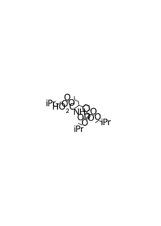 CC(C)CCOC(=O)OC(C)CC(c1ccc(OC(=O)OC(C)C(C)C)c(OC(=O)OC(C)C(C)C)c1)[C@H](N)C(=O)O